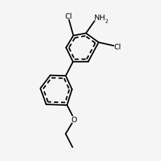 CCOc1cccc(-c2cc(Cl)c(N)c(Cl)c2)c1